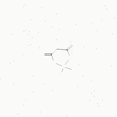 O=C1CC(=O)O[B-](F)(F)O1